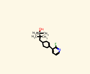 CC(C)(CC1CC=C(c2cccnc2F)CC1)[Si](C)(C)O